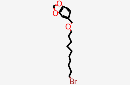 BrCCCCCCCCCCOCc1ccc2c(c1)OCO2